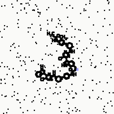 C=CC(=O)Nc1ccc(N2CCC[C@@H](Nc3ncc(Cl)c(-c4c[nH]c5cc(/C=C\C(=O)Nc6ccc(N7CCC[C@@H](Nc8ncc(Cl)c(-c9c[nH]c%10ccccc9%10)n8)C7)cc6)ccc45)n3)C2)cc1C